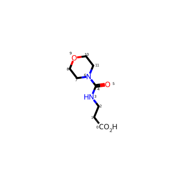 O=C(O)CCNC(=O)N1CCOCC1